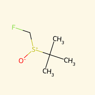 CC(C)(C)[S+]([O-])CF